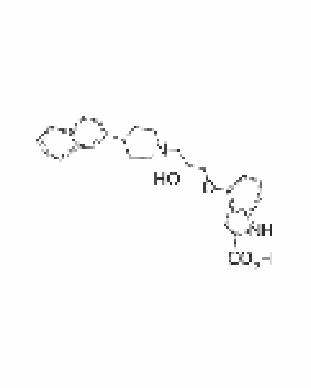 O=C(O)c1cc2c(OC[C@H](O)CN3CCC(c4ccc5ccccc5c4)CC3)cccc2[nH]1